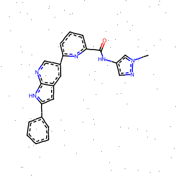 Cn1cc(NC(=O)c2cccc(-c3cnc4[nH]c(-c5ccccc5)cc4c3)n2)cn1